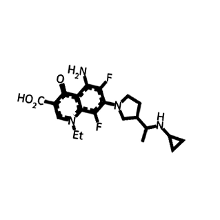 CCn1cc(C(=O)O)c(=O)c2c(N)c(F)c(N3CCC(C(C)NC4CC4)C3)c(F)c21